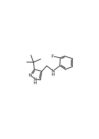 CC(C)(C)c1n[nH]cc1CNc1ccccc1F